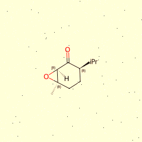 CC(C)[C@H]1CC[C@@]2(C)O[C@H]2C1=O